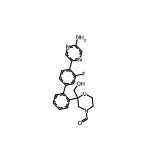 Nc1cnc(-c2ccc(-c3ccccc3C3(CO)CN(C=O)CCO3)cc2F)cn1